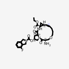 CCOC(=O)[C@@]12C[C@H]1/C=C\CCCOC[C@H](N)C(=O)N1C[C@H](OC(=O)N3Cc4cccc(F)c4C3)C[C@H]1C(=O)N2